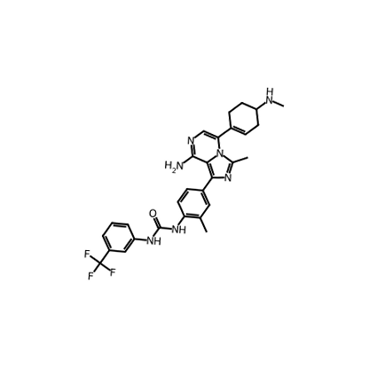 CNC1CC=C(c2cnc(N)c3c(-c4ccc(NC(=O)Nc5cccc(C(F)(F)F)c5)c(C)c4)nc(C)n23)CC1